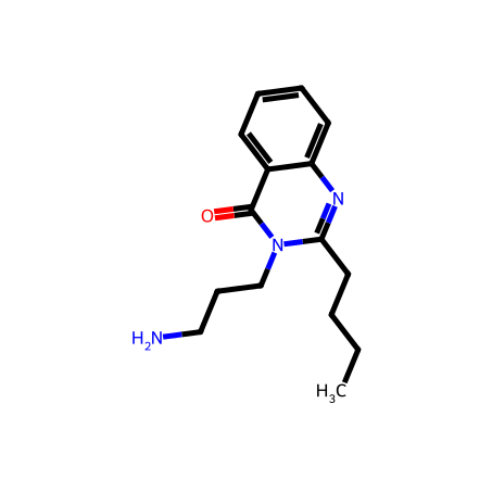 CCCCc1nc2ccccc2c(=O)n1CCCN